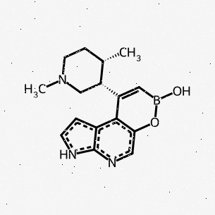 C[C@H]1CCN(C)C[C@H]1C1=CB(O)Oc2cnc3[nH]ccc3c21